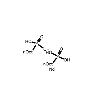 CCCCCCCCP(=O)(O)O.CCCCCCCCP(=O)(O)O.[Nd]